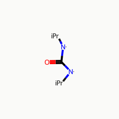 CC(C)[N]C(=O)[N]C(C)C